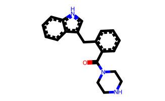 O=C(c1ccccc1Cc1c[nH]c2ccccc12)N1CCNCC1